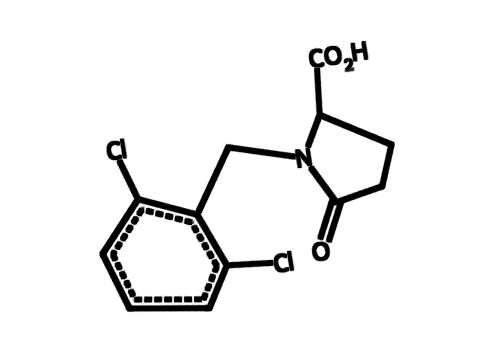 O=C(O)C1CCC(=O)N1Cc1c(Cl)cccc1Cl